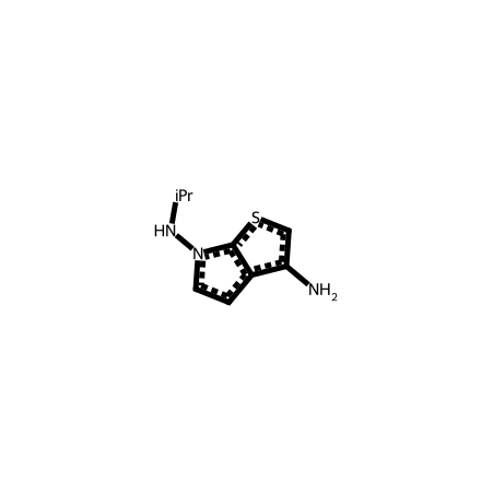 CC(C)Nn1ccc2c(N)csc21